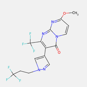 COc1ccn2c(=O)c(-c3cnn(CCC(F)(F)F)c3)c(C(F)(F)F)nc2n1